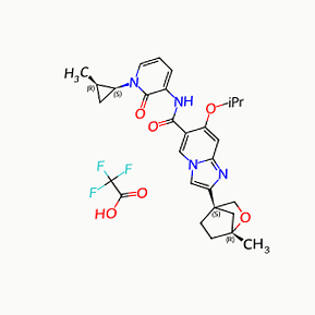 CC(C)Oc1cc2nc([C@]34CC[C@](C)(C3)OC4)cn2cc1C(=O)Nc1cccn([C@H]2C[C@H]2C)c1=O.O=C(O)C(F)(F)F